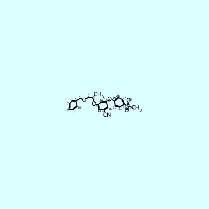 C[C@@H](COCc1ccccc1)Oc1cc(C#N)cc(Oc2ccc(S(C)(=O)=O)cc2)c1